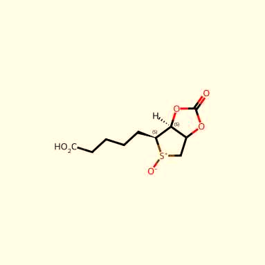 O=C(O)CCCC[C@H]1[C@H]2OC(=O)OC2C[S+]1[O-]